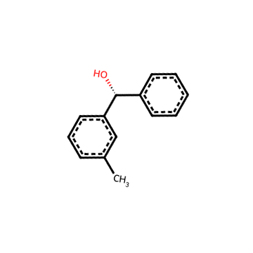 Cc1cccc([C@H](O)c2ccccc2)c1